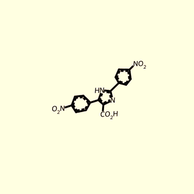 O=C(O)c1nc(-c2ccc([N+](=O)[O-])cc2)[nH]c1-c1ccc([N+](=O)[O-])cc1